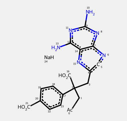 CC(=O)CC(Cc1cnc2nc(N)nc(N)c2n1)(C(=O)O)c1ccc(C(=O)O)cc1.[NaH]